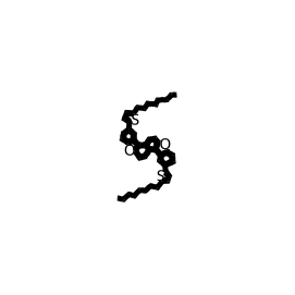 CCCCCCCCc1ccc(-c2ccc3oc4ccc5c(ccc6oc7ccc(-c8ccc(CCCCCCCC)s8)cc7c65)c4c3c2)s1